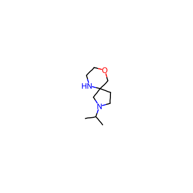 CC(C)N1CCC2(COCCN2)C1